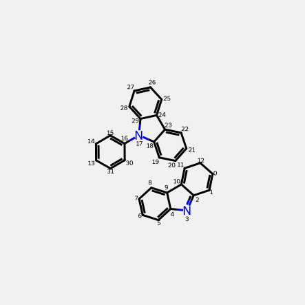 C1=CC2=Nc3ccccc3C2=CC1.c1ccc(-n2c3ccccc3c3ccccc32)cc1